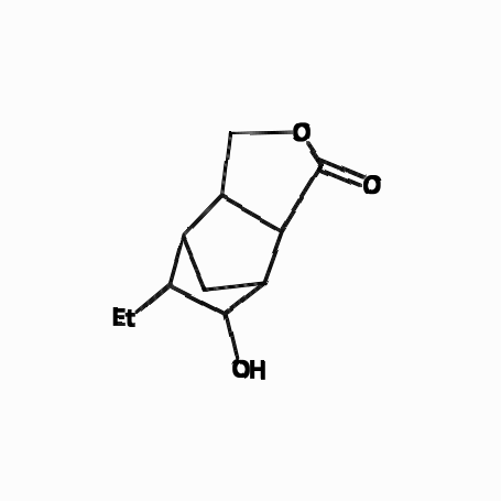 CCC1C(O)C2CC1C1COC(=O)C21